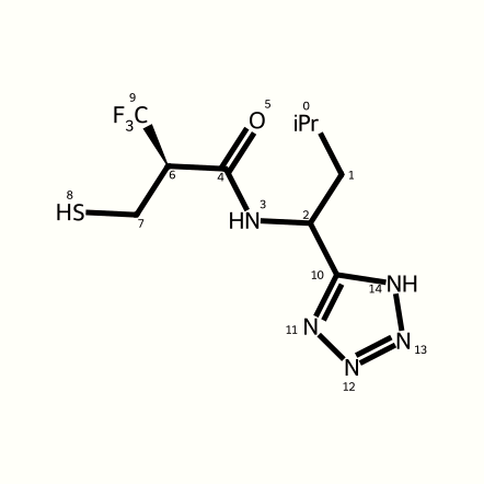 CC(C)CC(NC(=O)[C@@H](CS)C(F)(F)F)c1nnn[nH]1